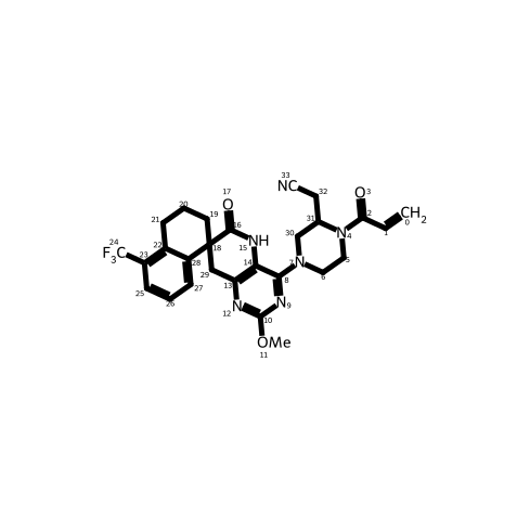 C=CC(=O)N1CCN(c2nc(OC)nc3c2NC(=O)C2(CCCc4c(C(F)(F)F)cccc42)C3)CC1CC#N